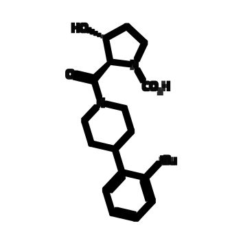 CC(C)(C)c1ccccc1C1CCN(C(=O)[C@H]2[C@H](O)CCN2C(=O)O)CC1